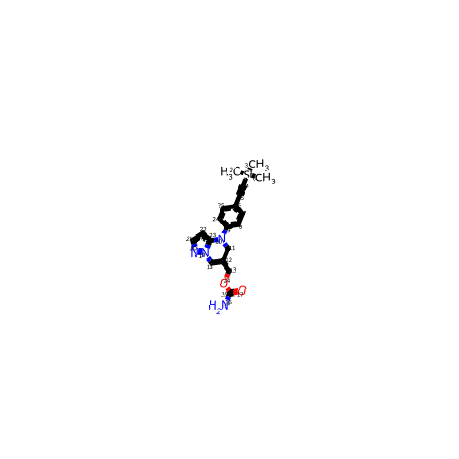 C[Si](C)(C)C#Cc1ccc(N2CC(COC(N)=O)Cn3nccc32)cc1